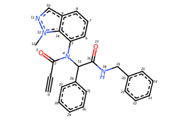 C#CC(=O)N(c1cccc2cnn(C)c12)C(C(=O)NCc1ccccc1)c1ccccc1